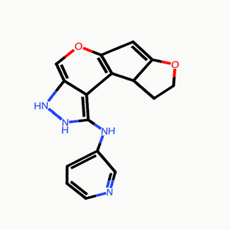 C1=C2NNC(Nc3cccnc3)=C2C2=C(C=C3OCCC32)O1